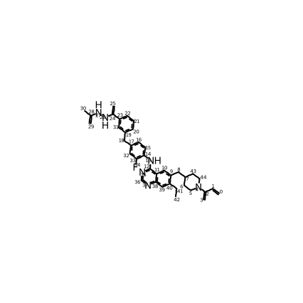 C=CC(=C)N1CCC(Cc2cc3c(Nc4ccc(Cc5cccc(C(=C)NNC(=C)C)c5)cc4F)ncnc3cc2CC)CC1